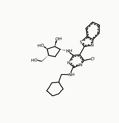 OC[C@H]1C[C@@H](Nc2nc(NCC3CCCCC3)nc(Cl)c2-c2nc3ccccc3s2)[C@H](O)[C@@H]1O